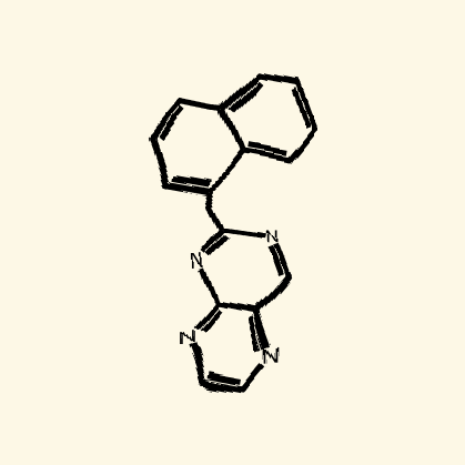 c1ccc2c(-c3ncc4nccnc4n3)cccc2c1